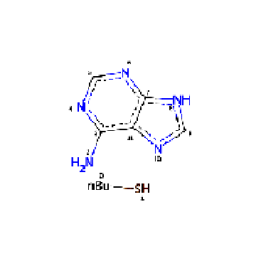 CCCCS.Nc1ncnc2[nH]cnc12